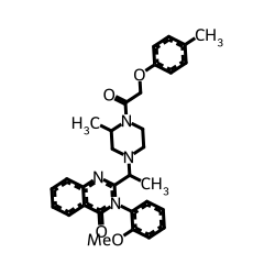 COc1ccccc1-n1c(C(C)N2CCN(C(=O)COc3ccc(C)cc3)C(C)C2)nc2ccccc2c1=O